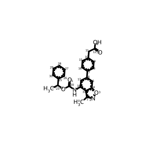 Cc1noc2cc(-c3ccc(CC(=O)O)cc3)cc(NC(=O)OC(C)c3ccccc3)c12